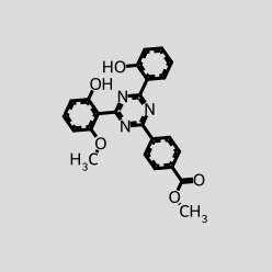 COC(=O)c1ccc(-c2nc(-c3ccccc3O)nc(-c3c(O)cccc3OC)n2)cc1